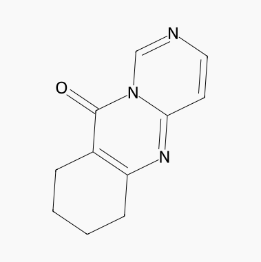 O=c1c2c(nc3ccncn13)CCCC2